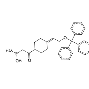 O=C(CP(O)O)C1CCC(=CCOC(c2ccccc2)(c2ccccc2)c2ccccc2)CC1